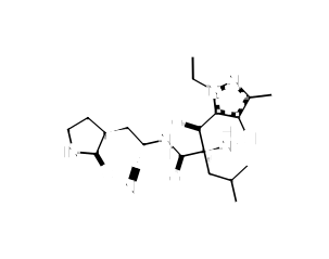 CCn1nc(C)c(Cl)c1C(=O)[C@](N)(CC(C)C)C(=O)N[C@H](C#N)C[C@@H]1CCNC1=O